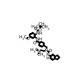 COc1ccc(NC(=O)OC(C)(C)C)c(NC(=O)c2ccc(CN(CCN(C)C)C(=O)Nc3ccc4c(c3)CCC4)cc2)c1